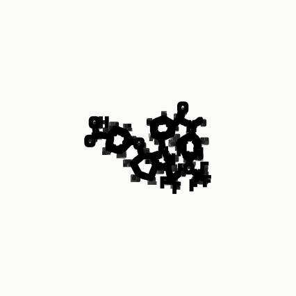 CN(C(=O)c1cccc(-n2nc(C(F)(F)F)c3c2C(Oc2ccc(C(=O)O)cc2)CCC3)c1)c1cnc(OC(F)(F)F)nc1